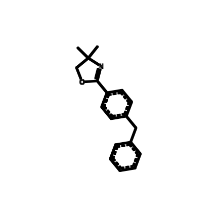 CC1(C)COC(c2ccc(Cc3ccccc3)cc2)=N1